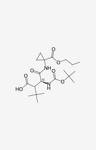 CCCOC(=O)C1(NC(=O)[C@@H](NC(=O)OC(C)(C)C)C(C(=O)O)C(C)(C)C)CC1